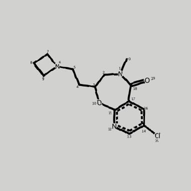 CN1CC(CCN2CCC2)Oc2ncc(Cl)cc2C1=O